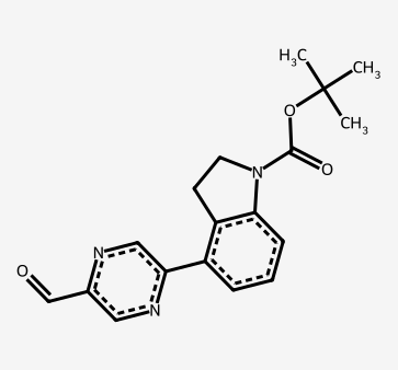 CC(C)(C)OC(=O)N1CCc2c(-c3cnc(C=O)cn3)cccc21